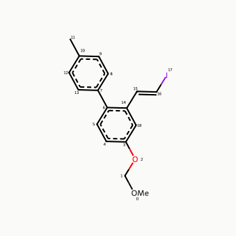 COCOc1ccc(-c2ccc(C)cc2)c(/C=C/I)c1